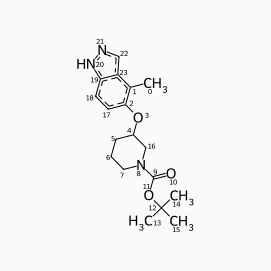 Cc1c(OC2CCCN(C(=O)OC(C)(C)C)C2)ccc2[nH]ncc12